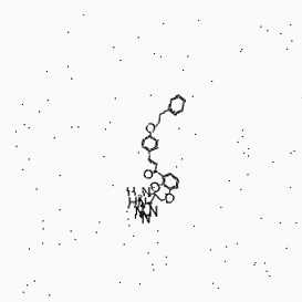 NC1(c2nnn[nH]2)COc2cccc(C(=O)C=Cc3ccc(OCCc4ccccc4)cc3)c2O1